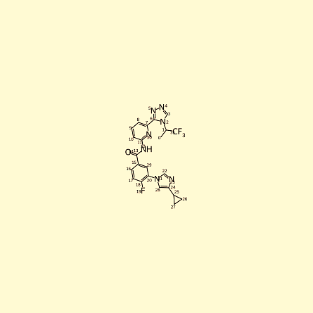 CC(n1cnnc1-c1cccc(NC(=O)c2ccc(F)c(-n3cnc(C4CC4)c3)c2)n1)C(F)(F)F